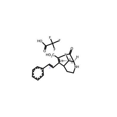 O=C(O)C(F)(F)F.O=C(O)C1=C(/C=C/c2ccccc2)C2CCN[C@@H]3C(=O)N1[C@H]23